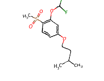 CC(C)CCOc1ccc(S(C)(=O)=O)c(OC(F)F)c1